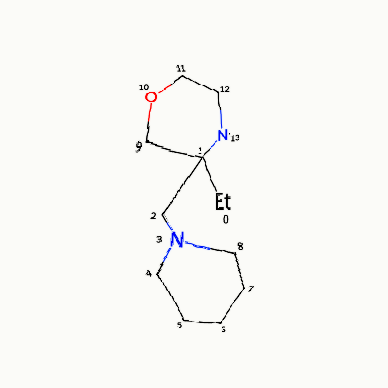 CCC1(CN2CCCCC2)COCC[N]1